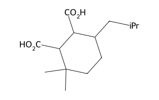 CC(C)CC1CCC(C)(C)C(C(=O)O)C1C(=O)O